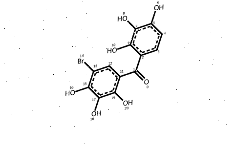 O=C(c1ccc(O)c(O)c1O)c1cc(Br)c(O)c(O)c1O